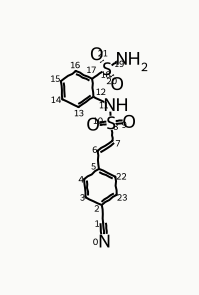 N#Cc1ccc(C=CS(=O)(=O)Nc2ccccc2S(N)(=O)=O)cc1